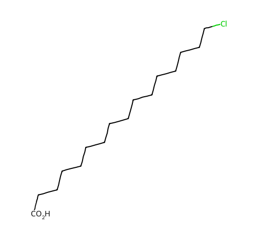 O=C(O)CCCCCCCCCCCCCCCCl